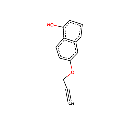 C#CCOc1ccc2c(O)cccc2c1